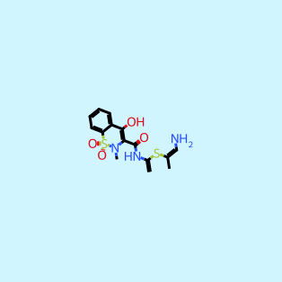 C=C(NC(=O)C1=C(O)c2ccccc2S(=O)(=O)N1C)S/C(C)=C\N